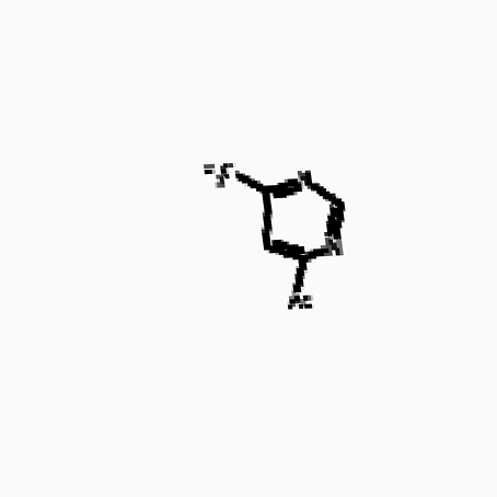 CC(=O)c1cc(C(F)(F)F)ncn1